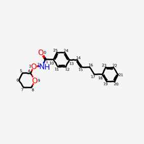 O=C(NOC1CCCCO1)c1ccc(C=CCCc2ccccc2)cc1